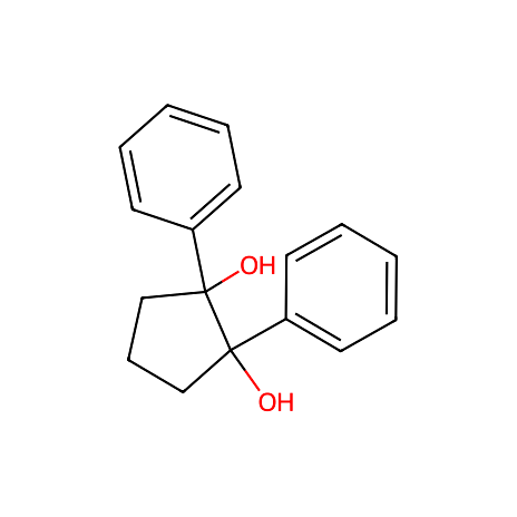 OC1(c2ccccc2)CCCC1(O)c1ccccc1